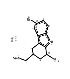 CNCC1Cc2c([nH]c3ccc(Br)cc23)C(N)C1.[Cl-].[H+]